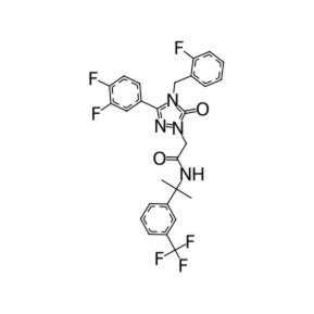 CC(C)(NC(=O)Cn1nc(-c2ccc(F)c(F)c2)n(Cc2ccccc2F)c1=O)c1cccc(C(F)(F)F)c1